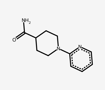 NC(=O)C1CCN(c2ccccn2)CC1